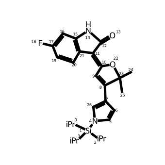 CC(C)[Si](C(C)C)(C(C)C)n1ccc(C2=CC(=C3C(=O)Nc4cc(F)ccc43)OC2(C)C)c1